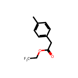 Cc1ccc(CC(=O)OCC(F)(F)F)cc1